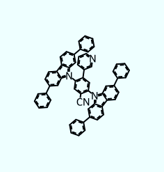 N#Cc1cc(-n2c3cc(-c4ccccc4)ccc3c3ccc(-c4ccccc4)cc32)c(-c2cccnc2)cc1-n1c2cc(-c3ccccc3)ccc2c2ccc(-c3ccccc3)cc21